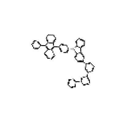 c1ccc(-c2cccc(-c3cccc(-c4ccc5c(c4)c4ccccc4n5-c4ccc(-c5c6ccccc6c(-c6ccccc6)c6ccccc56)cc4)c3)c2)cc1